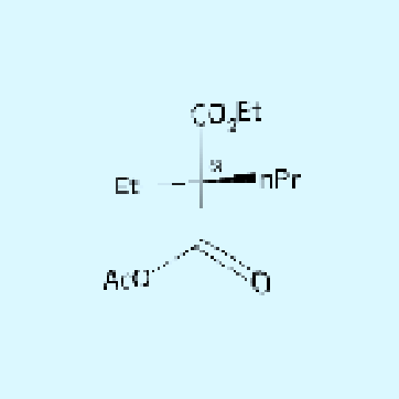 CCC[C@@](CC)(C(=O)OCC)C(=O)OC(C)=O